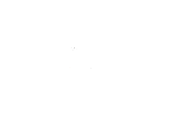 COc1ccccc1C1(CP)CCCCC1